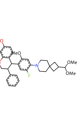 COc1cc(N2CCC3(CC2)CC(C(OC)OC)C3)c(F)cc1C1c2ccc(O)cc2OCC1c1ccccc1